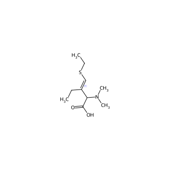 CCS/C=C(\CC)C(C(=O)O)N(C)C